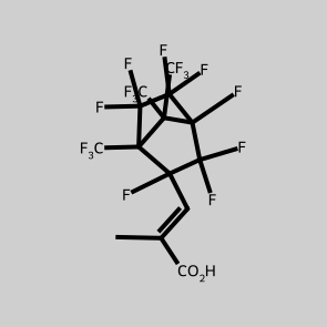 CC(=CC1(F)C(F)(F)C2(F)C(F)(F)C(F)(F)C1(C(F)(F)F)C2(C(F)(F)F)C(F)(F)F)C(=O)O